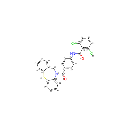 O=C(Nc1ccc(C(=O)N2Cc3ccccc3Sc3ccccc32)cc1)c1c(Cl)cccc1Cl